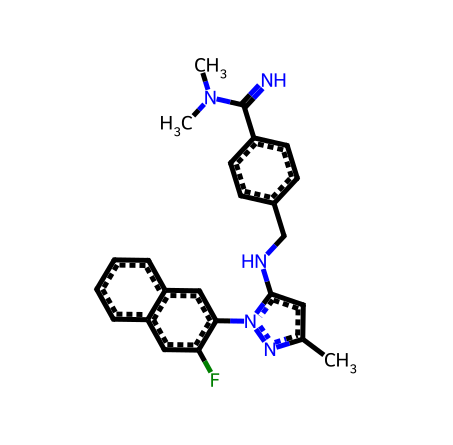 Cc1cc(NCc2ccc(C(=N)N(C)C)cc2)n(-c2cc3ccccc3cc2F)n1